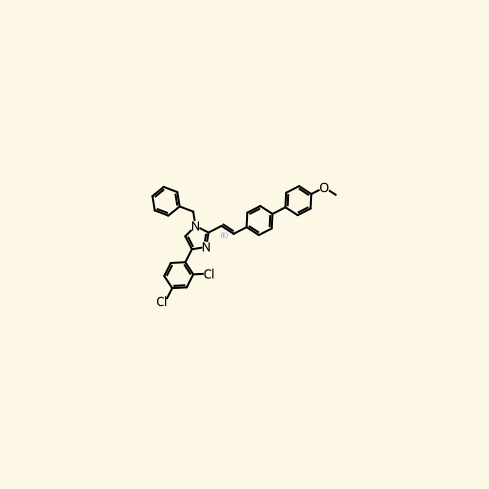 COc1ccc(-c2ccc(/C=C/c3nc(-c4ccc(Cl)cc4Cl)cn3Cc3ccccc3)cc2)cc1